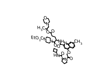 CCOC(=O)N1CCN(C(=O)C(CCC(=O)O[C@@H](C)CN2CCOCC2)NC(=O)c2cc(OCC(=O)N3CCC[C@H]3C(=O)NC3CCC3)c3ccc(C)cc3n2)CC1